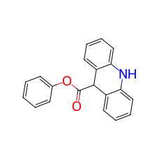 O=C(Oc1ccccc1)C1c2ccccc2Nc2ccccc21